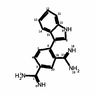 N=C(N)c1ccc(-c2c[nH]c3ccccc23)c(C(=N)N)c1